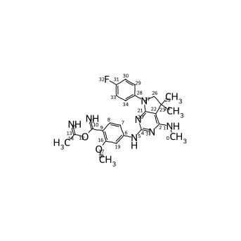 CNc1nc(Nc2ccc(C(=N)OC(C)=N)c(OC)c2)nc2c1C(C)(C)CN2c1ccc(F)cc1